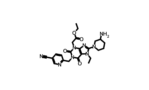 CCOC(=O)Cn1c(=O)n(Cc2ccc(C#N)cn2)c(=O)c2c1nc(N1CCCC(N)C1)n2CC